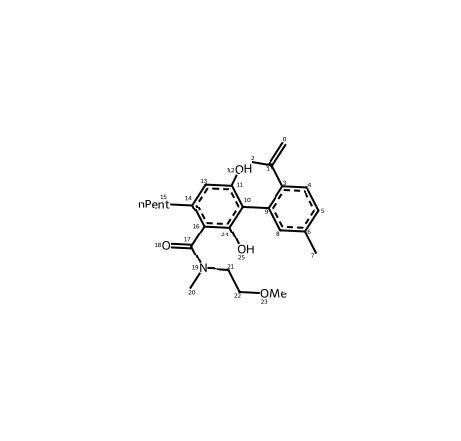 C=C(C)c1ccc(C)cc1-c1c(O)cc(CCCCC)c(C(=O)N(C)CCOC)c1O